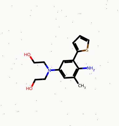 Cc1cc(N(CCO)CCO)cc(-c2cccs2)c1N